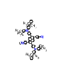 [C-]#[N+]c1ccc(-c2cc(-c3ccc(N(c4ccc(C(C)(C)c5ccccc5)cc4)c4ccc(C)c(C)c4)cc3)c3ccc4c(-c5ccc(C#N)cc5)cc(-c5ccc(N(c6ccc(C(C)(C)c7ccccc7)cc6)c6ccc(C)c(C)c6)cc5)c5ccc2c3c45)cc1